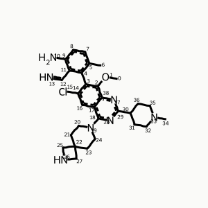 COc1c(-c2c(C)ccc(N)c2C=N)c(Cl)cc2c(N3CCC4(CC3)CNC4)nc(C3CCN(C)CC3)nc12